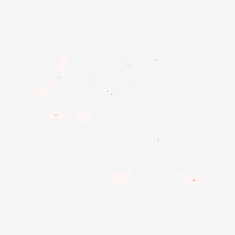 O=C(O)C(=CNc1ncnc2ccc(N(CCO)CCO)cc12)C(=O)O